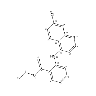 CCOC(=O)c1ccccc1Nc1ccnc2cc(Cl)ccc12